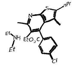 CCCc1sc2nc(C)c(C(=O)OCC)c(-c3ccc(Cl)cc3)c2c1C.CCNCC